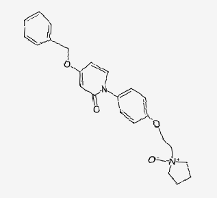 O=c1cc(OCc2ccccc2)ccn1-c1ccc(OCC[N+]2([O-])CCCC2)cc1